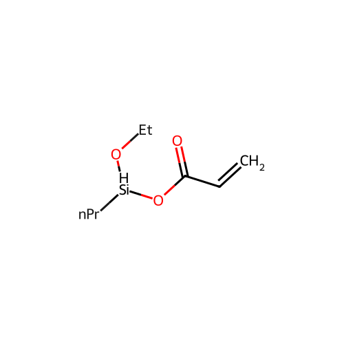 C=CC(=O)O[SiH](CCC)OCC